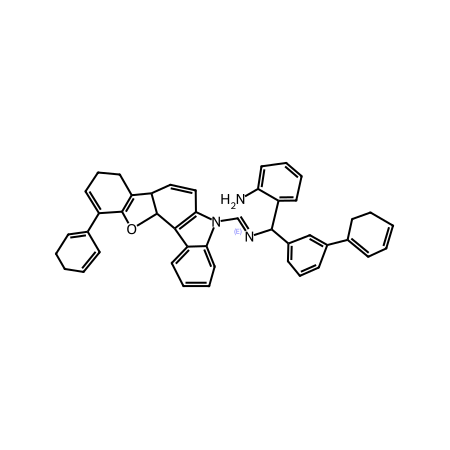 Nc1ccccc1C(/N=C/n1c2c(c3ccccc31)C1OC3=C(CCC=C3C3=CCCC=C3)C1C=C2)c1cccc(C2=CC=CCC2)c1